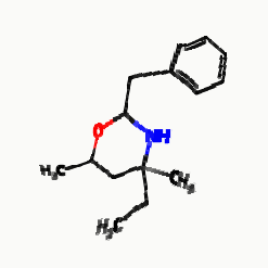 CCC1(C)CC(C)OC(Cc2ccccc2)N1